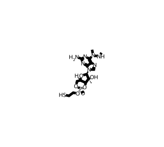 CNN(C)c1nc(N)nc2c1ncn2[C@@H]1O[C@@H]2COP(=O)(OCCS)OC2[C@]1(C)O